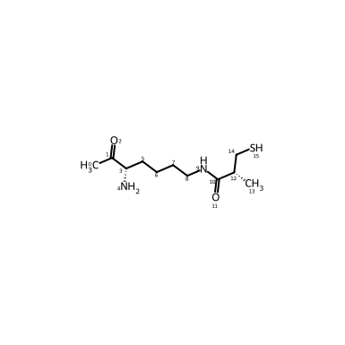 CC(=O)[C@@H](N)CCCCNC(=O)[C@@H](C)CS